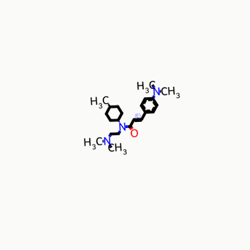 CN(C)CCN(C(=O)/C=C/c1ccc(N(C)C)cc1)[C@H]1CC[C@H](C)CC1